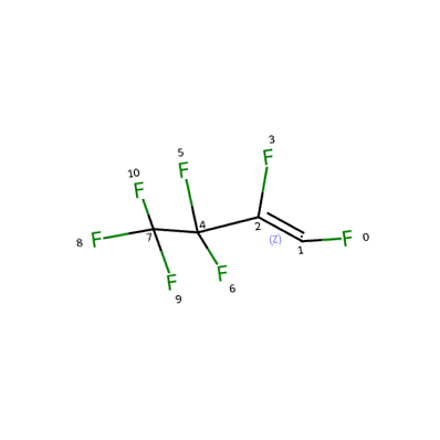 F/[C]=C(\F)C(F)(F)C(F)(F)F